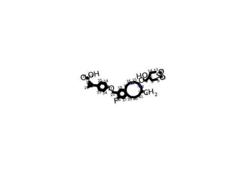 C=C1/C=C(OCC2(O)CCS(=O)(=O)CC2)\C=C/Cc2cc(COc3ccc(C4C[C@@H]4C(=O)O)cc3)c(F)cc2CCC1